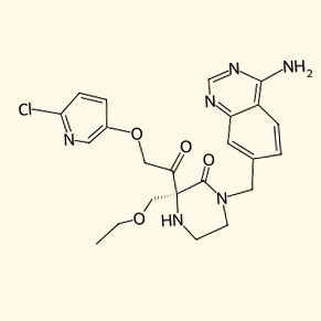 CCOC[C@@]1(C(=O)COc2ccc(Cl)nc2)NCCN(Cc2ccc3c(N)ncnc3c2)C1=O